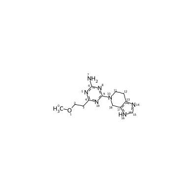 COCCc1nc(N)nc(N2CCc3nc[nH]c3C2)n1